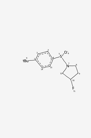 CC(C)(C)c1ccc([S+]([O-])N2CCC(F)C2)cc1